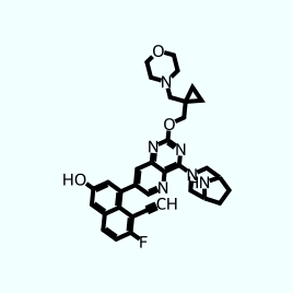 C#Cc1c(F)ccc2cc(O)cc(-c3cnc4c(N5CC6CCC(C5)N6)nc(OCC5(CN6CCOCC6)CC5)nc4c3)c12